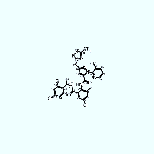 Cc1cc(Cl)cc(C(=O)NC(C)c2ccc(Cl)cc2Cl)c1NC(=O)c1cc(Cn2nnc(C(F)(F)F)n2)nn1-c1ncccc1Cl